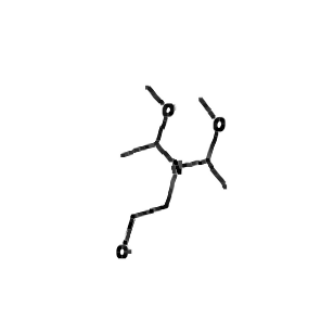 COC(C)N(CC[O])C(C)OC